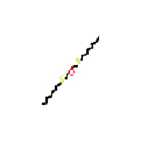 CCCCCCCCSCCOCCSCCCCCCCC